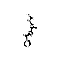 Cc1nc(NC(N)=O)sc1-c1csc(C(=O)N2CCOCC2)n1